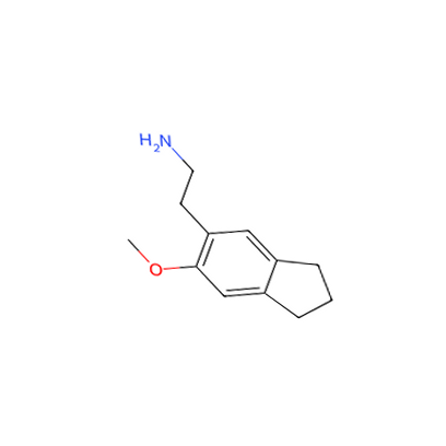 COc1cc2c(cc1CCN)CCC2